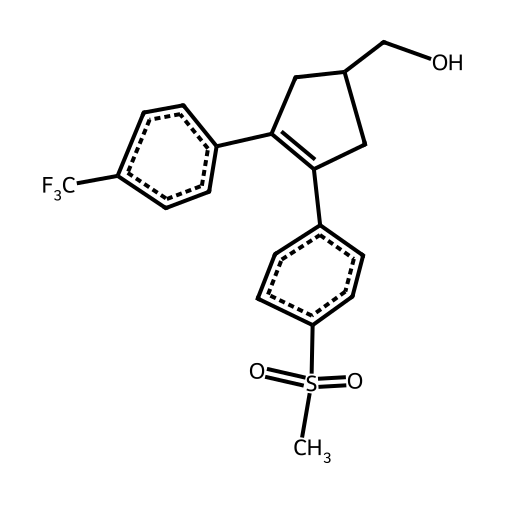 CS(=O)(=O)c1ccc(C2=C(c3ccc(C(F)(F)F)cc3)CC(CO)C2)cc1